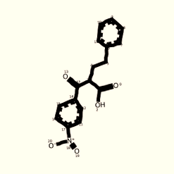 O=C(O)C(CCc1ccccc1)C(=O)c1ccc([N+](=O)[O-])cc1